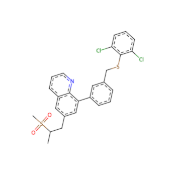 CC(Cc1cc(-c2cccc(CSc3c(Cl)cccc3Cl)c2)c2ncccc2c1)S(C)(=O)=O